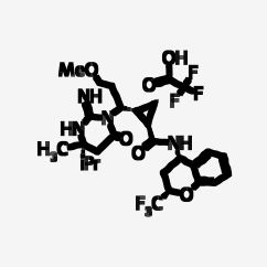 COCCC([C@@H]1C[C@H]1C(=O)N[C@H]1C[C@H](C(F)(F)F)Oc2ccccc21)N1C(=N)N[C@@](C)(C(C)C)CC1=O.O=C(O)C(F)(F)F